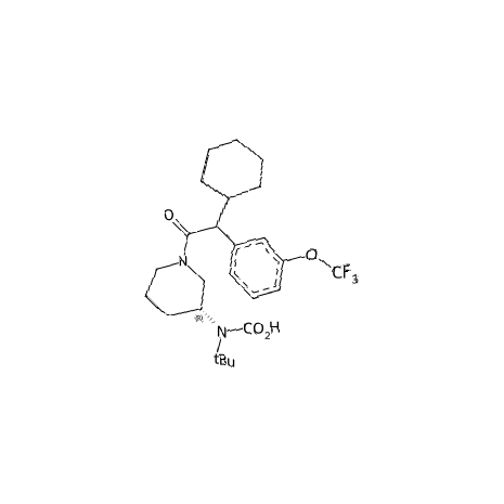 CC(C)(C)N(C(=O)O)[C@@H]1CCCN(C(=O)C(c2cccc(OC(F)(F)F)c2)C2CCCCC2)C1